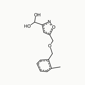 Cc1ccccc1COCc1cc(C(O)O)no1